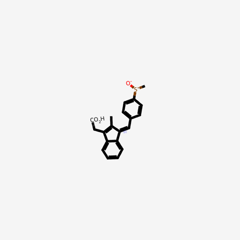 CC1=C(CC(=O)O)c2ccccc2/C1=C/c1ccc([S+](C)[O-])cc1